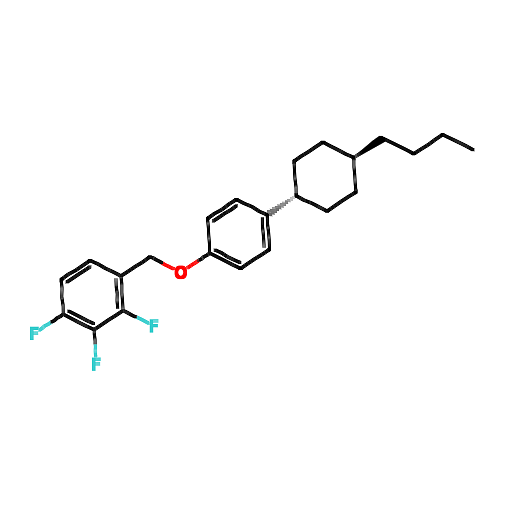 CCCC[C@H]1CC[C@H](c2ccc(OCc3ccc(F)c(F)c3F)cc2)CC1